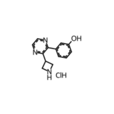 Cl.Oc1cccc(-c2nccnc2C2CNC2)c1